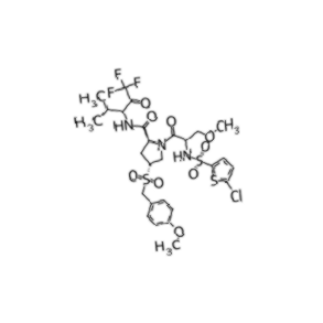 COCC(NS(=O)(=O)c1ccc(Cl)s1)C(=O)N1C[C@H](S(=O)(=O)Cc2ccc(OC)cc2)C[C@H]1C(=O)NC(C(=O)C(F)(F)F)C(C)C